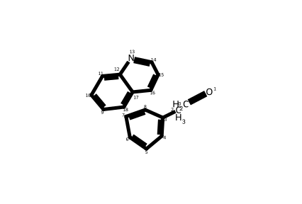 C=O.Cc1ccccc1.c1ccc2ncccc2c1